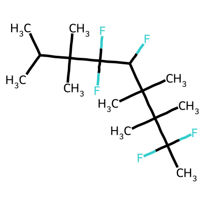 CC(C)C(C)(C)C(F)(F)C(F)C(C)(C)C(C)(C)C(C)(F)F